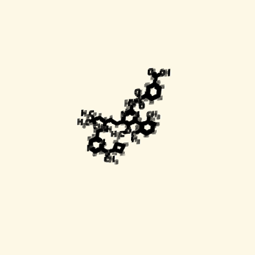 COc1c(CCC(CC(C)(C)C)NCc2cncc(N(C)C3CCC3)n2)nc(NS(=O)(=O)c2cccc(C(=O)O)c2)nc1-c1c(C)cccc1C